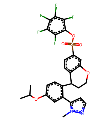 CC(C)Oc1ccc(C2CCOc3cc(S(=O)(=O)Oc4c(F)c(F)c(F)c(F)c4F)ccc32)c(-c2ccnn2C)c1